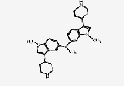 CN(c1ccc2c(c1)c(C1CCNCC1)cn2C)c1ccc2c(C3CCNCC3)cn(C)c2c1